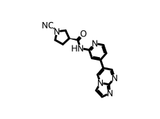 N#CN1CC[C@H](C(=O)Nc2cc(-c3cnc4nccn4c3)ccn2)C1